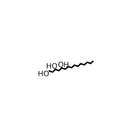 CCCCCCCCCCC(O)CC(O)CCO